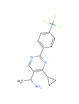 CC(N)c1cnc(-c2ccc(C(F)(F)F)cc2)nc1C1CC1